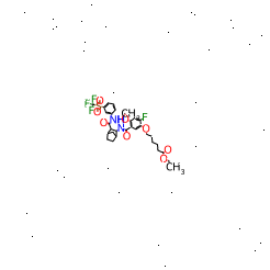 CCOC(=O)CCCCCOc1cc(C(=O)NC2C3CCC(C3)C2C(=O)Nc2cccc(S(=O)(=O)C(F)(F)F)c2)c(OC)cc1F